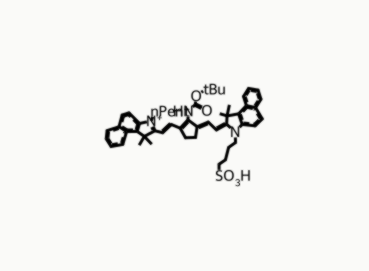 CCCCC[N+]1=C(/C=C/C2=C(NC(=O)OC(C)(C)C)C(=C/C=C3/N(CCCCS(=O)(=O)O)c4ccc5ccccc5c4C3(C)C)/CC2)C(C)(C)c2c1ccc1ccccc21